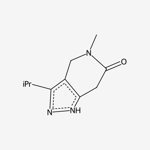 CC(C)c1n[nH]c2c1CN(C)C(=O)C2